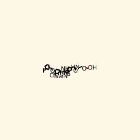 CNc1sc2cc(CC(=O)NCCOCCO)ccc2c1C(=N)Nc1ccc(OCc2cccc(F)c2)c(Cl)c1